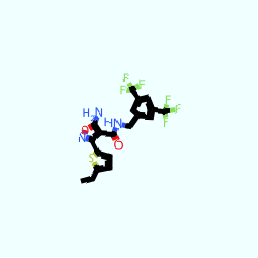 CCc1ccc(-c2noc(N)c2C(=O)NCc2cc(C(F)(F)F)cc(C(F)(F)F)c2)s1